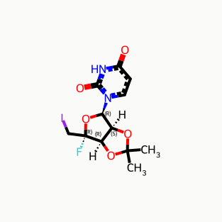 CC1(C)O[C@@H]2[C@H](n3ccc(=O)[nH]c3=O)O[C@](F)(CI)[C@@H]2O1